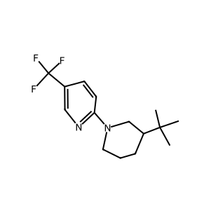 CC(C)(C)C1CCCN(c2ccc(C(F)(F)F)cn2)C1